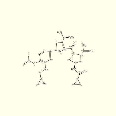 C[C@H](N)c1oc(-c2ccc(OC(F)F)c(OCC3CC3)c2)nc1C(=O)N1C[C@H](NC(=O)C2CC2)C[C@H]1C(N)=O